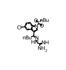 CCCC/C(=N\NC(=N)N)c1cn(S(=O)(=O)CCCC)c2ccc(Cl)cc12